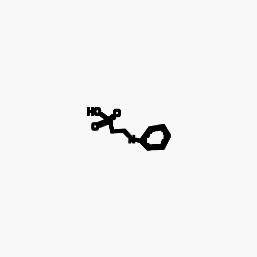 O=S(=O)(O)CC[N]c1ccccc1